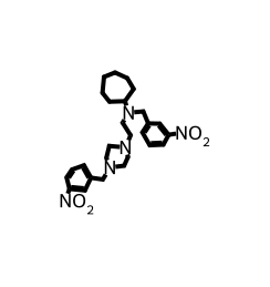 O=[N+]([O-])c1cccc(CN2CCN(CCN(Cc3cccc([N+](=O)[O-])c3)C3CCCCCC3)CC2)c1